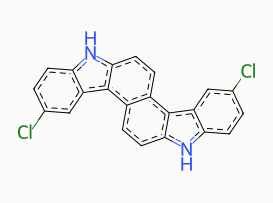 Clc1ccc2[nH]c3ccc4c(ccc5[nH]c6ccc(Cl)cc6c54)c3c2c1